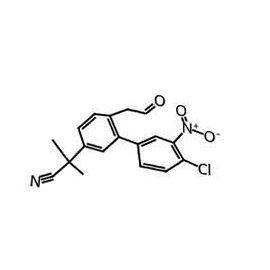 CC(C)(C#N)c1ccc(CC=O)c(-c2ccc(Cl)c([N+](=O)[O-])c2)c1